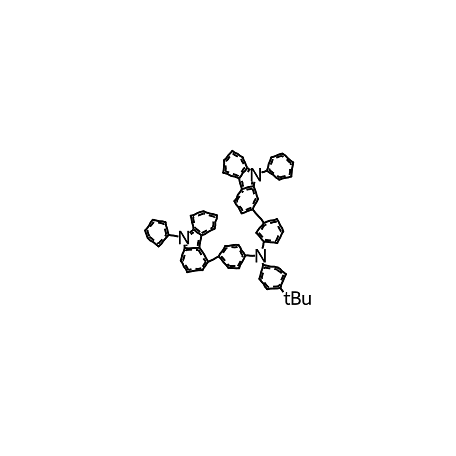 CC(C)(C)c1ccc(N(c2ccc(-c3cccc4c3c3ccccc3n4-c3ccccc3)cc2)c2cccc(-c3ccc4c5ccccc5n(-c5ccccc5)c4c3)c2)cc1